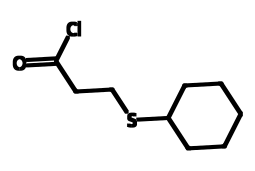 O=C(Cl)CCSC1CCCCC1